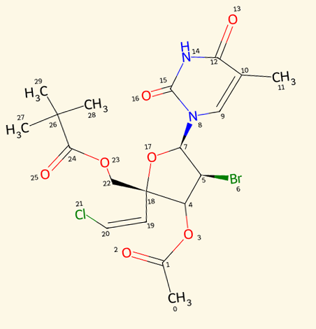 CC(=O)OC1[C@H](Br)[C@H](n2cc(C)c(=O)[nH]c2=O)O[C@]1(/C=C\Cl)COC(=O)C(C)(C)C